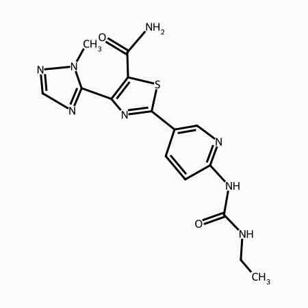 CCNC(=O)Nc1ccc(-c2nc(-c3ncnn3C)c(C(N)=O)s2)cn1